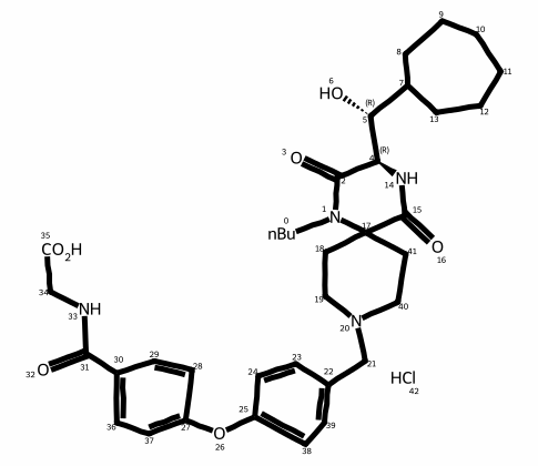 CCCCN1C(=O)[C@@H]([C@H](O)C2CCCCCC2)NC(=O)C12CCN(Cc1ccc(Oc3ccc(C(=O)NCC(=O)O)cc3)cc1)CC2.Cl